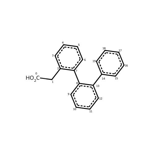 O=C(O)Cc1ccccc1-c1ccccc1-c1ccccc1